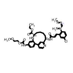 C=N/N=C\N(N)c1ccc(Cl)cc1/C=C/C(=O)N[C@H]1CCCC[C@H](C(=O)OCC)Nc2cc(NC(=O)OCCOC)ccc2-c2ccnc1c2